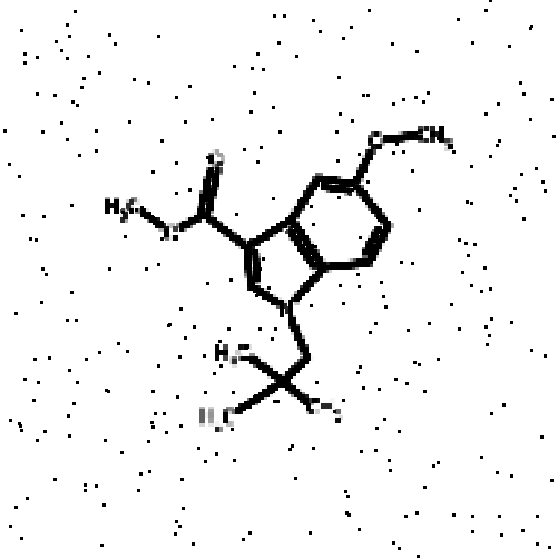 COC(=O)c1cn(CC(C)(C)C)c2ccc(OC)cc12